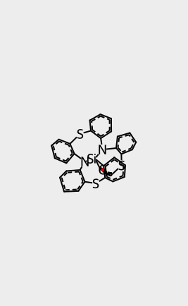 c1ccc2c(c1)Sc1ccccc1N1c3ccccc3Sc3ccccc3[Si]13c1ccccc1Sc1ccccc1N23